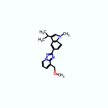 COCc1cccn2nc(-c3ccc4c(c3)c(C(C)C)cn4C)nc12